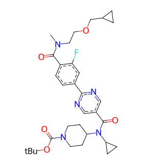 CN(CCOCC1CC1)C(=O)c1ccc(-c2ncc(C(=O)N(C3CC3)C3CCN(C(=O)OC(C)(C)C)CC3)cn2)cc1F